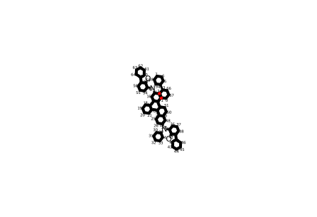 c1ccc(-c2ccccc2N(c2ccc3c(c2)c2ccccc2c2c4ccc(N(c5ccccc5)c5cccc6c5oc5ccccc56)cc4ccc32)c2cccc3c2oc2ccccc23)cc1